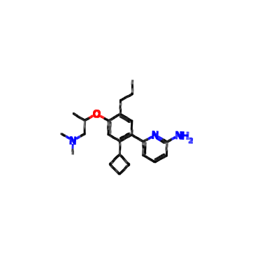 CCCc1cc(-c2cccc(N)n2)c(C2CCC2)cc1OC(C)CN(C)C